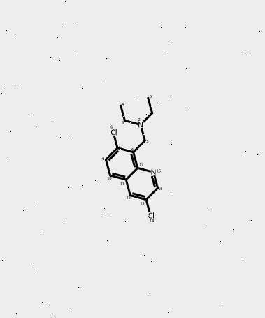 CCN(CC)Cc1c(Cl)ccc2cc(Cl)cnc12